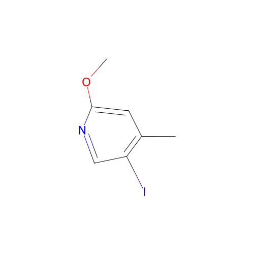 COc1cc(C)c(I)cn1